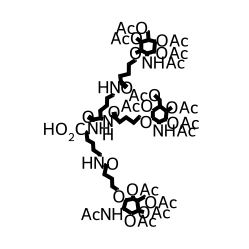 CC(=O)NC1C(OCCCCC(=O)NCCCCC(NC(=O)C(CCCCNC(=O)CCCCOC2C(NC(C)=O)C(OC(C)=O)C(OC(C)=O)C(COC(C)=O)C2OC(C)=O)NC(=O)CCCCOC2C(NC(C)=O)C(OC(C)=O)C(OC(C)=O)C(COC(C)=O)C2OC(C)=O)C(=O)O)C(OC(C)=O)C(COC(C)=O)C(OC(C)=O)C1OC(C)=O